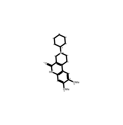 COc1cc2[nH]c(=O)c3c(c2cc1OC)CCN(C1CCCCC1)C3